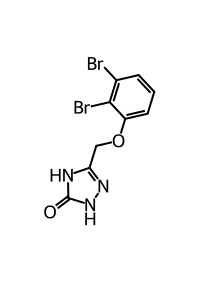 O=c1[nH]nc(COc2cccc(Br)c2Br)[nH]1